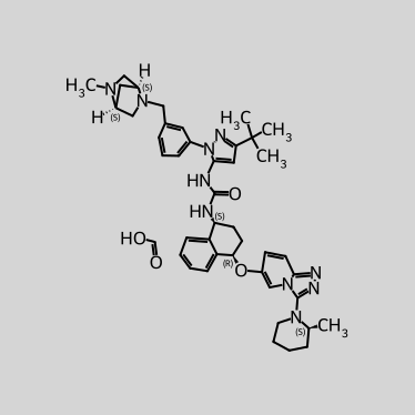 C[C@H]1CCCCN1c1nnc2ccc(O[C@@H]3CC[C@H](NC(=O)Nc4cc(C(C)(C)C)nn4-c4cccc(CN5C[C@@H]6C[C@H]5CN6C)c4)c4ccccc43)cn12.O=CO